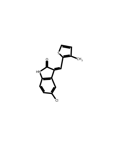 Cc1ccsc1C=C1C(=O)Nc2ccc(Cl)cc21